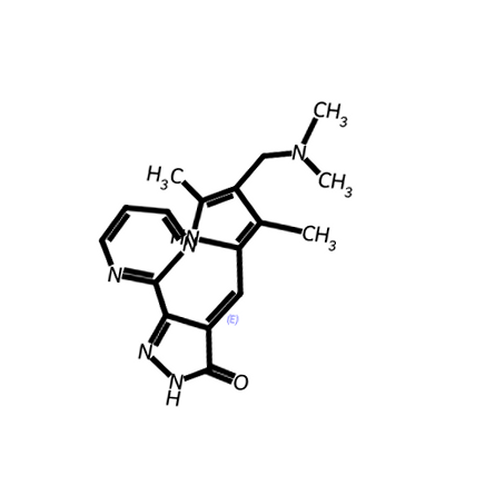 Cc1[nH]c(/C=C2/C(=O)NN=C2c2ncccn2)c(C)c1CN(C)C